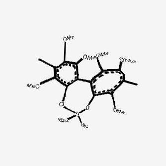 COc1c(C)c(OC)c2c(c1OC)-c1c(OC)c(OC)c(C)c(OC)c1O[Si](C(C)(C)C)(C(C)(C)C)O2